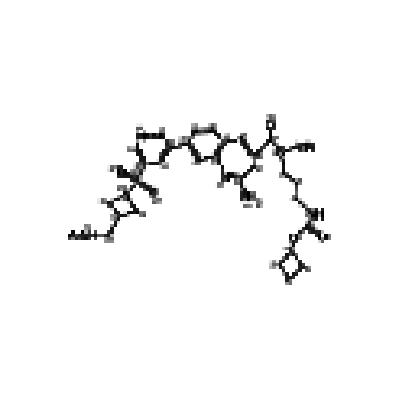 CCCN(CCCNC(=O)OC1CCC1)C(=O)C1=Cc2ccc(-c3cncc(S(=O)(=O)N4CC(CNC(C)=O)C4)c3)cc2N=C(N)C1